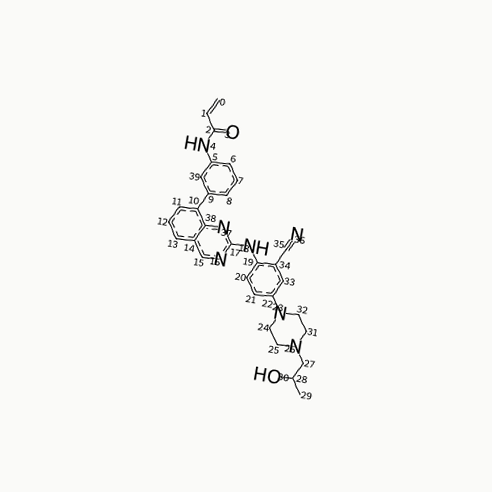 C=CC(=O)Nc1cccc(-c2cccc3cnc(Nc4ccc(N5CCN(CC(C)O)CC5)cc4C#N)nc23)c1